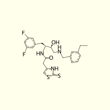 CCc1cccc(CNC[C@H](O)[C@H](Cc2cc(F)cc(F)c2)NC(=O)Cc2csc(=S)[nH]2)c1